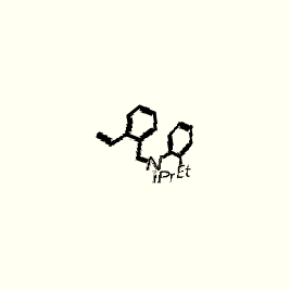 C=Cc1ccccc1CN(c1ccccc1CC)C(C)C